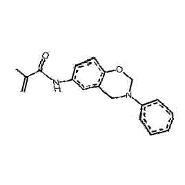 C=C(C)C(=O)Nc1ccc2c(c1)CN(c1ccccc1)CO2